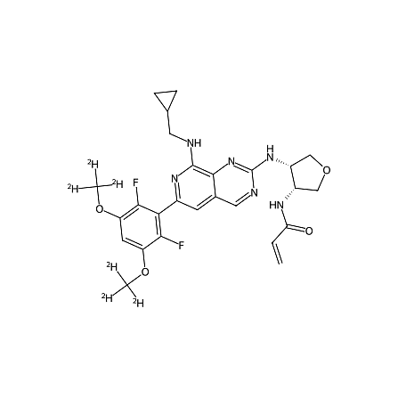 [2H]C([2H])([2H])Oc1cc(OC([2H])([2H])[2H])c(F)c(-c2cc3cnc(N[C@@H]4COC[C@@H]4NC(=O)C=C)nc3c(NCC3CC3)n2)c1F